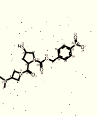 CN(C)C1CN(C(=O)C2CC(S)CN2C(=O)OCc2ccc([N+](=O)[O-])cc2)C1